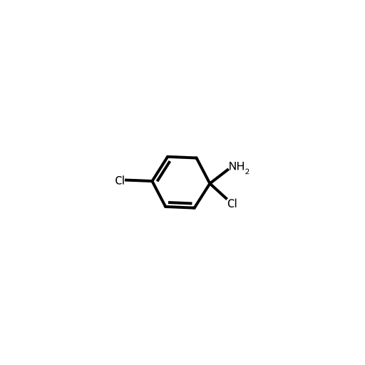 NC1(Cl)C=CC(Cl)=CC1